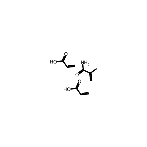 C=C(C)C(N)=O.C=CC(=O)O.C=CC(=O)O